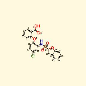 O=C(O)c1ccccc1Oc1ccc(Cl)cc1NS(=O)(=O)c1cc2ccccc2o1